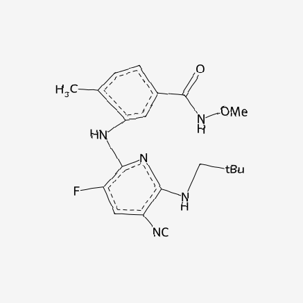 [C-]#[N+]c1cc(F)c(Nc2cc(C(=O)NOC)ccc2C)nc1NCC(C)(C)C